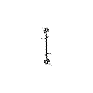 Nc1ncnc2c1ncn2CCC(=O)C(N)CCCCCCCCCCC(N)C(=O)CCn1cnc2c(N)ncnc21